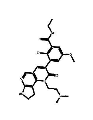 CCNC(=O)c1cc(OC)cc(-c2cc3cnc4c(c3n(CCN(C)C)c2=O)CCN4)c1Cl